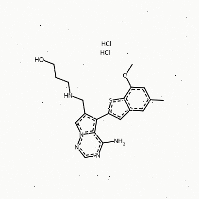 COc1cc(C)cc2cc(-c3c(CNCCCO)cn4ncnc(N)c34)sc12.Cl.Cl